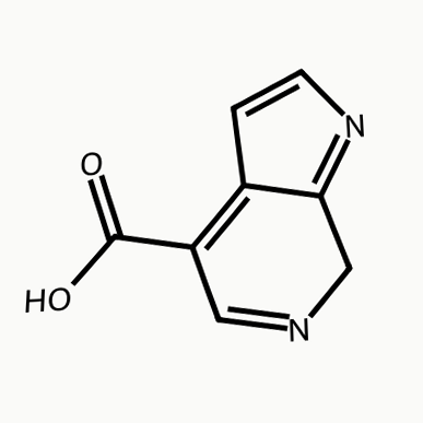 O=C(O)C1=C2C=CN=C2CN=C1